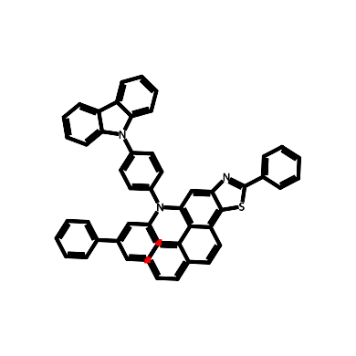 c1ccc(-c2cccc(N(c3ccc(-n4c5ccccc5c5ccccc54)cc3)c3cc4nc(-c5ccccc5)sc4c4ccc5ccccc5c34)c2)cc1